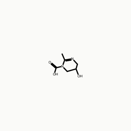 CC1=NCC(O)CN1C(=O)O